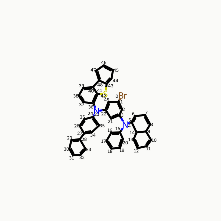 Brc1cc(N(C2=CC=CC3C=CC=CC23)c2ccccc2)cc(N(c2ccc(-c3ccccc3)cc2)c2cccc3c2sc2ccccc23)c1